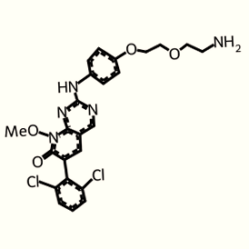 COn1c(=O)c(-c2c(Cl)cccc2Cl)cc2cnc(Nc3ccc(OCCOCCN)cc3)nc21